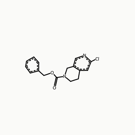 O=C(OCc1ccccc1)N1CCc2cc(Cl)ncc2C1